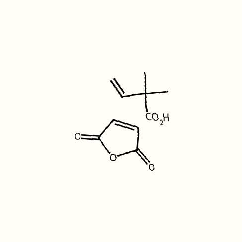 C=CC(C)(C)C(=O)O.O=C1C=CC(=O)O1